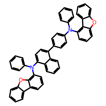 c1ccc(N(c2ccc(-c3ccc(N(c4ccccc4)c4cccc5oc6ccccc6c45)cc3)c3ccccc23)c2cccc3c2oc2ccccc23)cc1